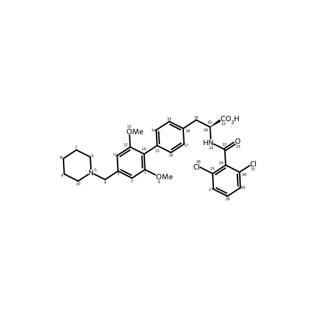 COc1cc(CN2CCCCC2)cc(OC)c1-c1ccc(C[C@H](NC(=O)c2c(Cl)cccc2Cl)C(=O)O)cc1